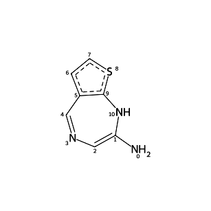 NC1=CN=Cc2ccsc2N1